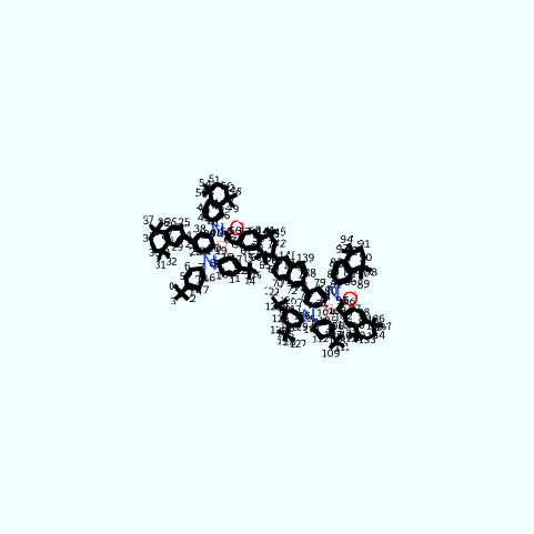 CC(C)(C)c1ccc(N2c3ccc(C(C)(C)C)cc3B3c4c2cc(-c2ccc5c(c2)C(C)(C)CCC5(C)C)cc4N(c2ccc4c(c2)C(C)(C)CCC4(C)C)c2oc4cc5c(cc4c23)C(C)(C)C(c2ccc3cc(-c4cc6c7c(c4)N(c4ccc8c(c4)C(C)(C)CCC8(C)C)c4oc8cc9c(cc8c4B7c4cc(C(C)(C)C)ccc4N6c4cc(C(C)(C)C)cc(C(C)(C)C)c4)C(C)(C)CCC9(C)C)ccc3c2)CC5(C)C)cc1